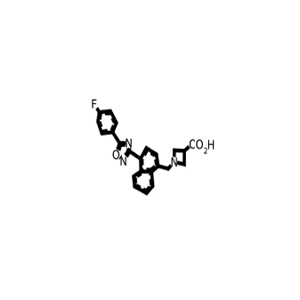 O=C(O)C1CN(Cc2ccc(-c3noc(-c4ccc(F)cc4)n3)c3ccccc23)C1